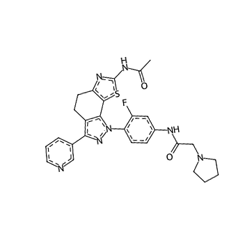 CC(=O)Nc1nc2c(s1)-c1c(c(-c3cccnc3)nn1-c1ccc(NC(=O)CN3CCCC3)cc1F)CC2